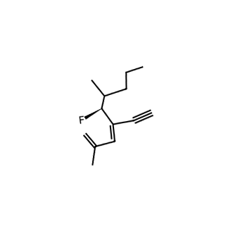 C#C/C(=C/C(=C)C)[C@@H](F)C(C)CCC